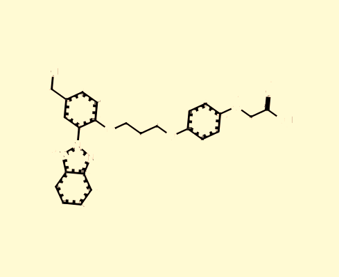 CCc1ccc(OCCCOc2ccc(OCC(=O)O)cc2)c(-n2nc3ccccc3n2)c1